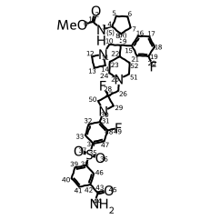 COC(=O)N[C@H]1CCC[C@@H]1C(CN1CCC1)(c1cccc(F)c1)C1CCN(CC2(F)CN(c3ccc(S(=O)(=O)c4cccc(C(N)=O)c4)cc3F)C2)CC1